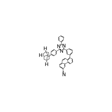 N#Cc1ccc2ccc3c(-c4cccc(-c5nc(-c6ccccc6)nc(-c6ccc(C78C[C@H]9C[C@@H](C7)C[C@@H](C8)C9)cc6)n5)c4)cccc3c2c1